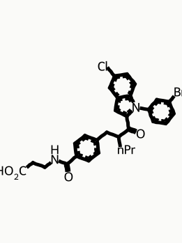 CCCC(Cc1ccc(C(=O)NCCC(=O)O)cc1)C(=O)c1cc2cc(Cl)ccc2n1-c1cccc(Br)c1